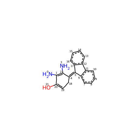 NC1=C(N)C(=C2c3ccccc3-c3ccccc32)CC=C1O